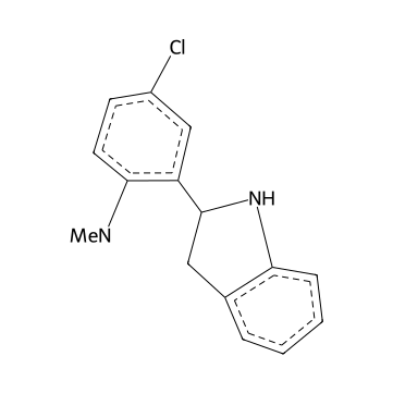 CNc1ccc(Cl)cc1C1Cc2ccccc2N1